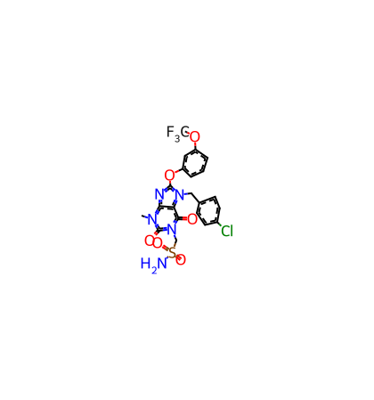 Cn1c(=O)n(CS(N)(=O)=O)c(=O)c2c1nc(Oc1cccc(OC(F)(F)F)c1)n2Cc1ccc(Cl)cc1